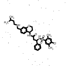 Cc1cc(S(=O)(=O)NC(CC(=O)NC2CCOc3cc(CNCCC(C)C)ccc32)c2ccccc2)c(C)cc1Cl